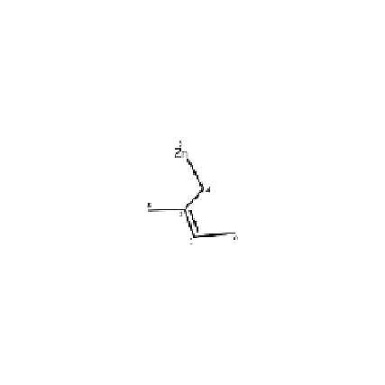 CC=C(C)[CH2][Zn]